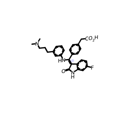 CN(C)CCCc1cccc(N/C(=C2\C(=O)Nc3cc(F)ccc32)c2ccc(CC(=O)O)cc2)c1